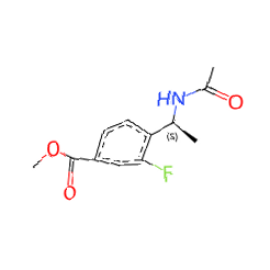 COC(=O)c1ccc([C@H](C)NC(C)=O)c(F)c1